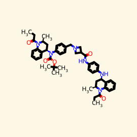 CCC(=O)N1c2ccccc2[C@H](N(C(=O)OC(C)(C)C)c2ccc(CN3CC(C(=O)Nc4ccc(N[C@@H]5C[C@H](C)N(C(=O)CC)c6ccccc65)cc4)C3)cc2)C[C@@H]1C